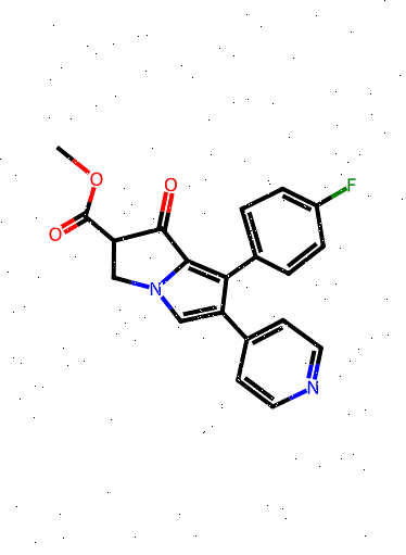 COC(=O)C1Cn2cc(-c3ccncc3)c(-c3ccc(F)cc3)c2C1=O